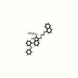 O=C(O)Oc1[nH]c2c(-c3ccccc3Cc3ccccc3)cccc2c1CCCOc1cccc2ccccc12